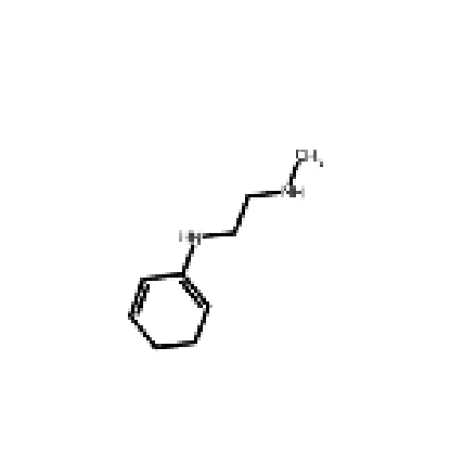 CNCCNC1=CCCC=C1